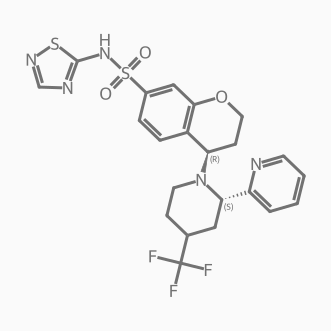 O=S(=O)(Nc1ncns1)c1ccc2c(c1)OCC[C@H]2N1CCC(C(F)(F)F)C[C@H]1c1ccccn1